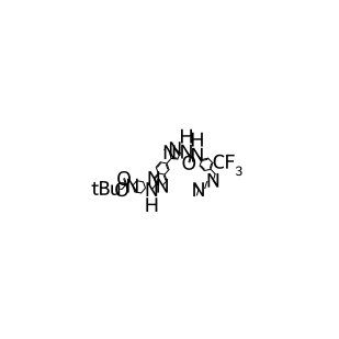 CN(C)CCN(C)Cc1ccc(NC(=O)Nc2cc(-c3ccc4nc(NC5CCN(C(=O)OC(C)(C)C)CC5)ncc4c3)n(C)n2)cc1C(F)(F)F